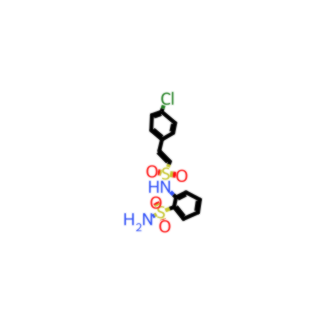 NS(=O)(=O)c1ccccc1NS(=O)(=O)C=Cc1ccc(Cl)cc1